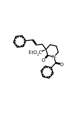 CCOC(=O)[C@@]1(CC=Cc2ccccc2)CCCN(C(=O)c2ccccc2)C1=O